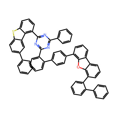 c1ccc(-c2ccc3sc4cccc(-c5nc(-c6ccccc6)nc(-c6ccccc6-c6ccc(-c7cccc8c7oc7c(-c9ccccc9-c9ccccc9)cccc78)cc6)n5)c4c3c2)cc1